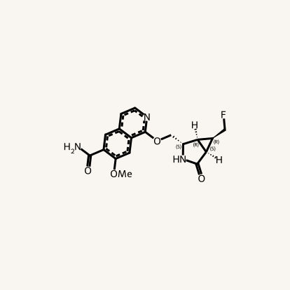 COc1cc2c(OC[C@H]3NC(=O)[C@@H]4[C@H](CF)[C@@H]43)nccc2cc1C(N)=O